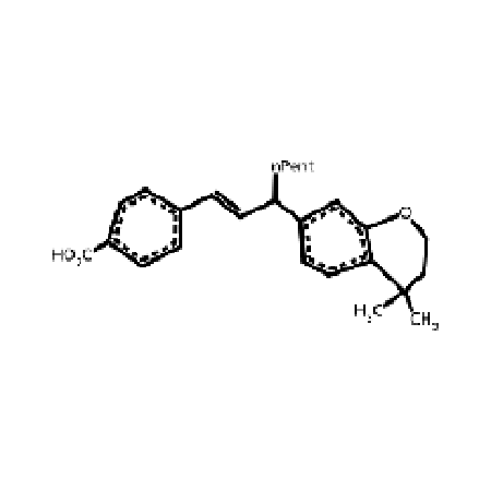 CCCCCC(C=Cc1ccc(C(=O)O)cc1)c1ccc2c(c1)OCCC2(C)C